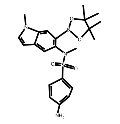 CN(c1cc2ccn(C)c2cc1B1OC(C)(C)C(C)(C)O1)S(=O)(=O)c1ccc(N)cc1